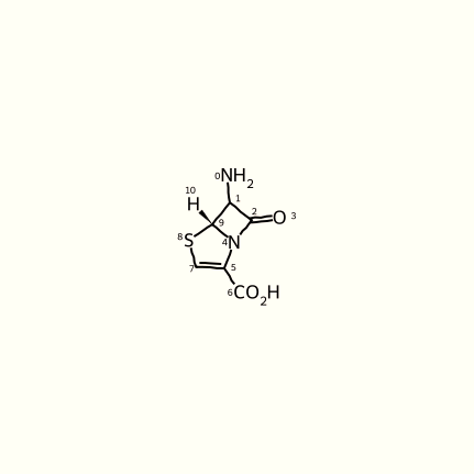 NC1C(=O)N2C(C(=O)O)=CS[C@H]12